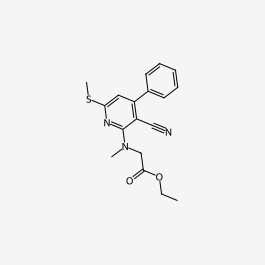 CCOC(=O)CN(C)c1nc(SC)cc(-c2ccccc2)c1C#N